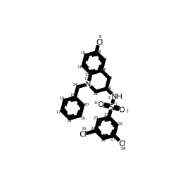 O=S(=O)(NC1Cc2cc(Cl)ccc2N(Cc2ccccc2)C1)c1cc(Cl)cc(Cl)c1